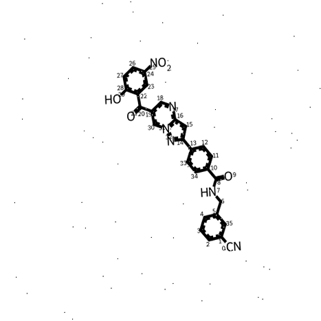 N#Cc1cccc(CNC(=O)c2ccc(-c3cc4ncc(C(=O)c5cc([N+](=O)[O-])ccc5O)cn4n3)cc2)c1